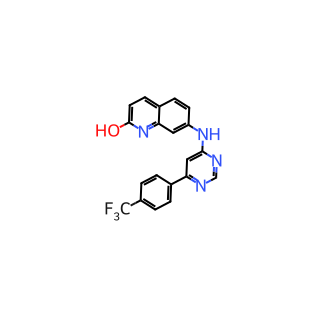 Oc1ccc2ccc(Nc3cc(-c4ccc(C(F)(F)F)cc4)ncn3)cc2n1